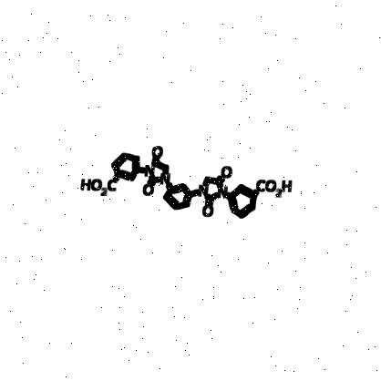 O=C(O)c1cccc(N2C(=O)CN(c3cccc(N4CC(=O)N(c5cccc(C(=O)O)c5)C4=O)c3)C2=O)c1